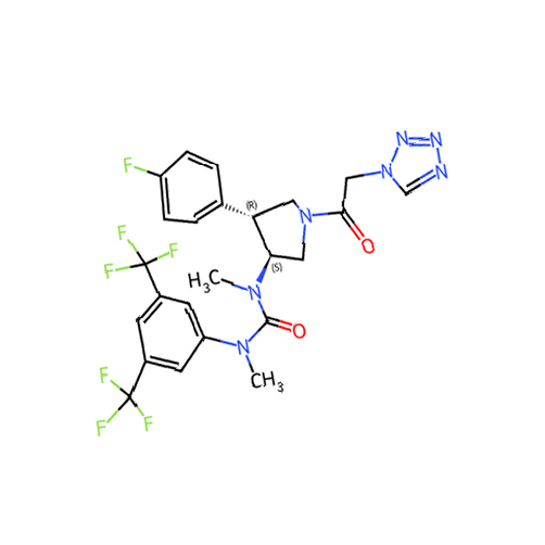 CN(C(=O)N(C)[C@@H]1CN(C(=O)Cn2cnnn2)C[C@H]1c1ccc(F)cc1)c1cc(C(F)(F)F)cc(C(F)(F)F)c1